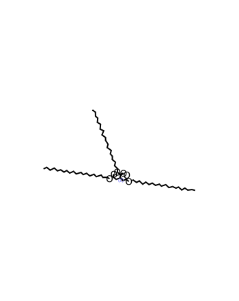 CCCCCCCCCCCCCCCCCCCCOC(=O)/C=C(/CC(=O)OCCCCCCCCCCCCCCCCCCCC)C(=O)OCCCCCCCCCCCCCCCCCCCC